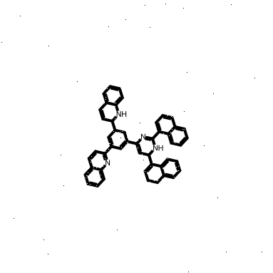 C1=CC(C2C=C(c3ccc4ccccc4n3)C=C(C3=CC(C4=CCCc5ccccc54)NC(c4cccc5ccccc45)=N3)C2)Nc2ccccc21